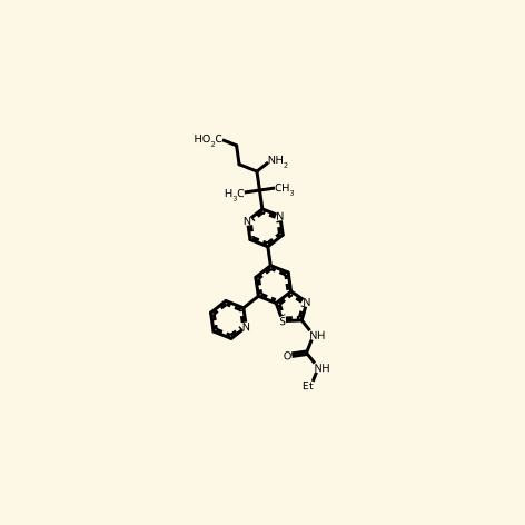 CCNC(=O)Nc1nc2cc(-c3cnc(C(C)(C)C(N)CCC(=O)O)nc3)cc(-c3ccccn3)c2s1